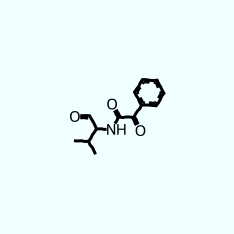 CC(C)C(C=O)NC(=O)C(=O)c1ccccc1